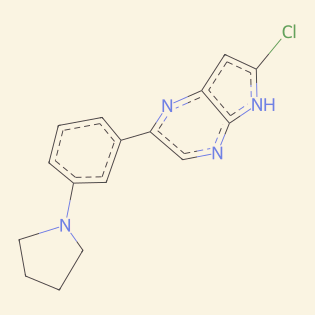 Clc1cc2nc(-c3cccc(N4CCCC4)c3)cnc2[nH]1